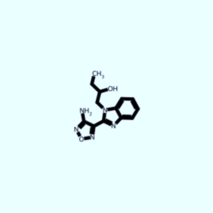 CCC(O)Cn1c(-c2nonc2N)nc2ccccc21